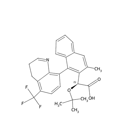 Cc1cc2ccccc2c(-c2ccc(C(F)(F)F)c3c2N=CCC3)c1[C@H](OC(C)(C)C)C(=O)O